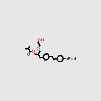 C=C(C)C(=O)OCC(COCCO)CC1CCC(CCC2CCC(CCCCC)CC2)CC1